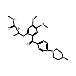 CNC(=O)NC(C)Cc1cc(OC)c(OC)cc1C(=N)c1ccc(N2CCN(C)CC2)cc1